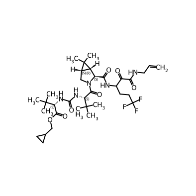 C=CCNC(=O)C(=O)C(CCC(F)(F)F)NC(=O)[C@@H]1[C@@H]2[C@H](CN1C(=O)[C@@H](NC(=O)N[C@H](C(=O)OCC1CC1)C(C)(C)C)C(C)(C)C)C2(C)C